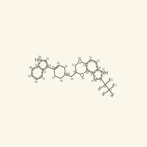 FC(F)(F)C(F)(F)c1nc2c3c(ccc2[nH]1)OCC(CN1CC=C(c2c[nH]c4ccccc24)CC1)O3